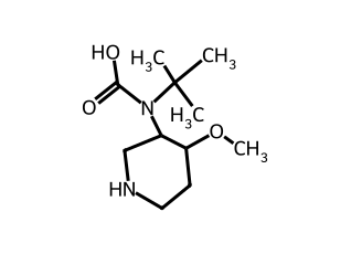 COC1CCNCC1N(C(=O)O)C(C)(C)C